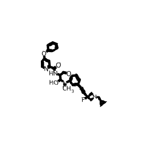 CN1c2cc(C#CC3(F)CN(CC4CC4)C3)ccc2OCC(NC(=O)c2cc(Oc3ccccc3)ccn2)C1O